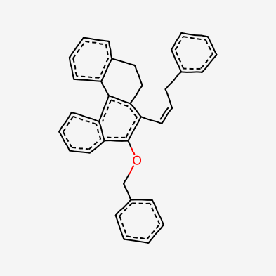 C(=C/c1c2c(c3ccccc3c1OCc1ccccc1)-c1ccccc1CC2)/Cc1ccccc1